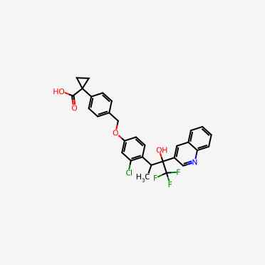 CC(c1ccc(OCc2ccc(C3(C(=O)O)CC3)cc2)cc1Cl)C(O)(c1cnc2ccccc2c1)C(F)(F)F